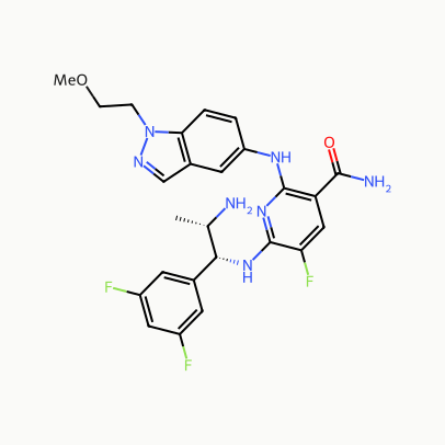 COCCn1ncc2cc(Nc3nc(N[C@H](c4cc(F)cc(F)c4)[C@H](C)N)c(F)cc3C(N)=O)ccc21